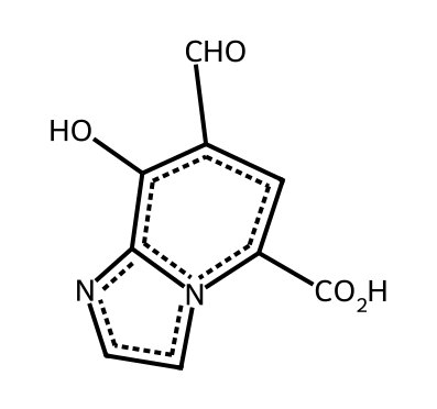 O=Cc1cc(C(=O)O)n2ccnc2c1O